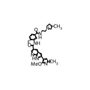 COc1nn(C)cc1-c1cc2cc(C(=O)Nc3cc(C(=O)NCCN4CC[C@H](C)C4)ccc3F)cnc2[nH]1